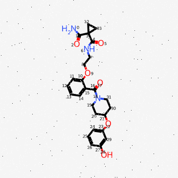 NC(=O)C1(C(=O)NCCOc2ccccc2C(=O)N2CCC(Oc3cccc(O)c3)CC2)CC1